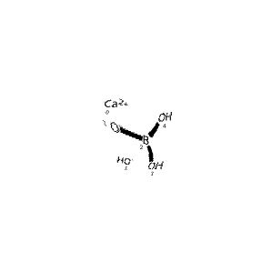 [Ca+2].[O-]B(O)O.[OH-]